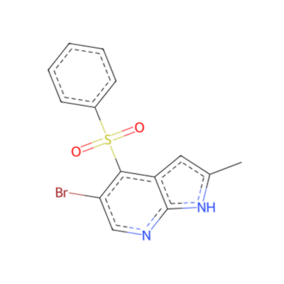 Cc1cc2c(S(=O)(=O)c3ccccc3)c(Br)cnc2[nH]1